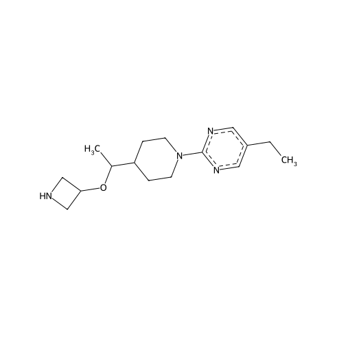 CCc1cnc(N2CCC(C(C)OC3CNC3)CC2)nc1